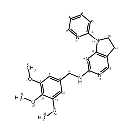 COc1cc(CNc2ncc3c(n2)N(c2ccccn2)CC3)cc(OC)c1OC